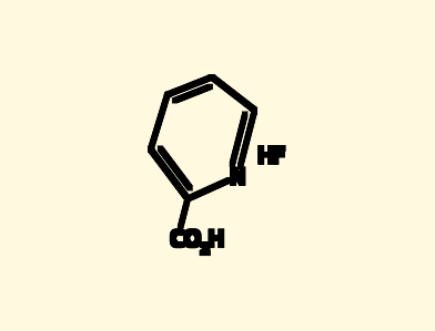 F.O=C(O)c1ccccn1